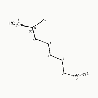 CCCCCCCCCC[C@H](C)C(=O)O